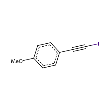 COc1ccc(C#CI)cc1